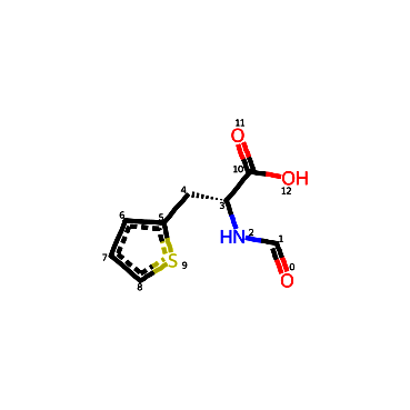 O=CN[C@H](Cc1cccs1)C(=O)O